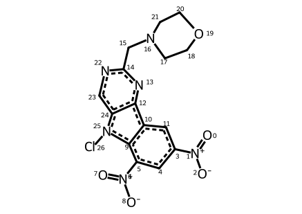 O=[N+]([O-])c1cc([N+](=O)[O-])c2c(c1)c1nc(CN3CCOCC3)ncc1n2Cl